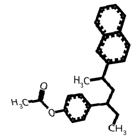 CCC(CC(C)c1ccc2ccccc2c1)c1ccc(OC(C)=O)cc1